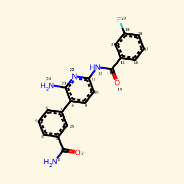 NC(=O)c1cccc(-c2ccc(NC(=O)c3cccc(F)c3)nc2N)c1